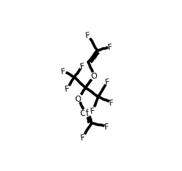 FC(F)=COC([O][Cf]=[C](F)F)(C(F)(F)F)C(F)(F)F